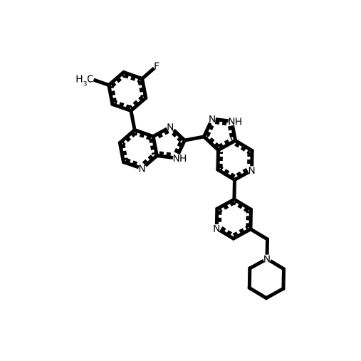 Cc1cc(F)cc(-c2ccnc3[nH]c(-c4n[nH]c5cnc(-c6cncc(CN7CCCCC7)c6)cc45)nc23)c1